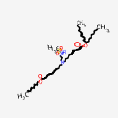 CCCCCCCCOC(=O)CCCCCCCN(CCCCCCCC(=O)OC(CCCCCCCC)CCCCCCCC)CCCNS(C)(=O)=O